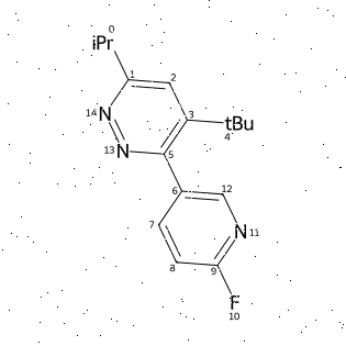 CC(C)c1cc(C(C)(C)C)c(-c2ccc(F)nc2)nn1